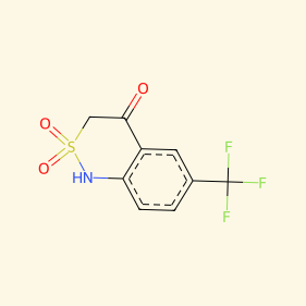 O=C1CS(=O)(=O)Nc2ccc(C(F)(F)F)cc21